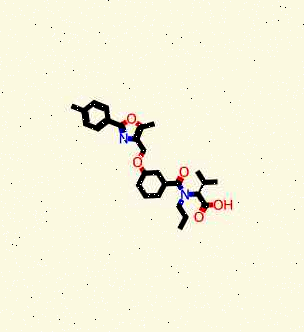 CCCN(C(=O)C1CCCC(OCc2nc(-c3ccc(C)cc3)oc2C)C1)[C@H](C(=O)O)C(C)C